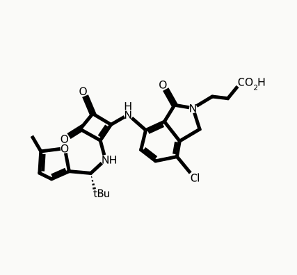 Cc1ccc([C@H](Nc2c(Nc3ccc(Cl)c4c3C(=O)N(CCC(=O)O)C4)c(=O)c2=O)C(C)(C)C)o1